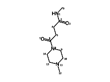 CNC(=O)CCC(=O)N1CCN(C)CC1